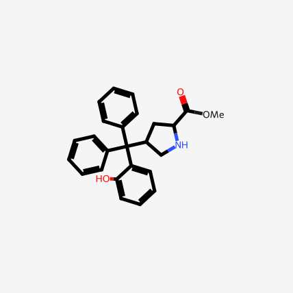 COC(=O)C1CC(C(c2ccccc2)(c2ccccc2)c2ccccc2O)CN1